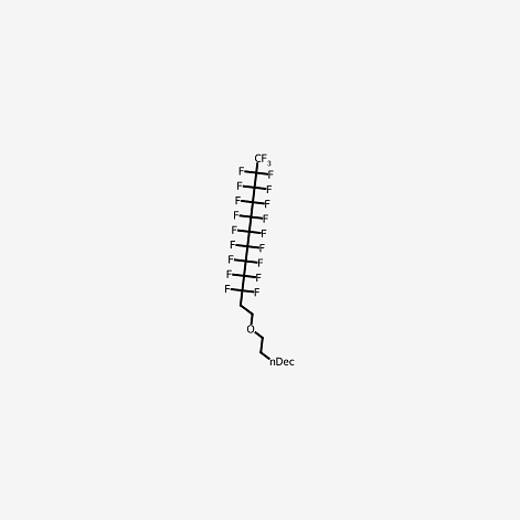 CCCCCCCCCCCCOCCC(F)(F)C(F)(F)C(F)(F)C(F)(F)C(F)(F)C(F)(F)C(F)(F)C(F)(F)C(F)(F)C(F)(F)F